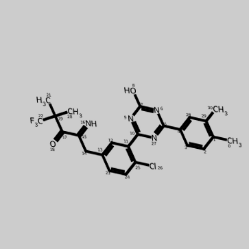 Cc1ccc(-c2nc(O)nc(-c3cc(CC(=N)C(=O)C(C)(C)C(F)(F)F)ccc3Cl)n2)cc1C